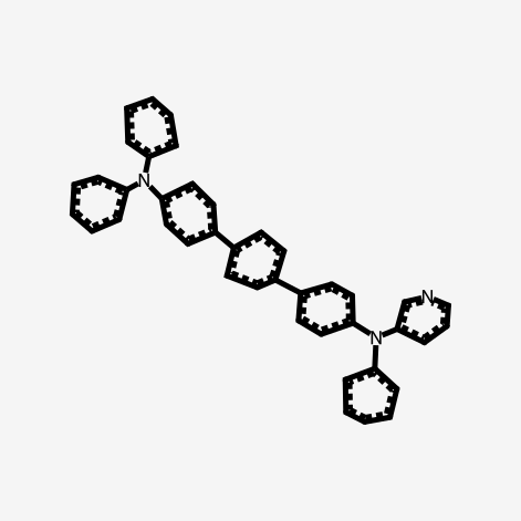 c1ccc(N(c2ccccc2)c2ccc(-c3ccc(-c4ccc(N(c5ccccc5)c5cccnc5)cc4)cc3)cc2)cc1